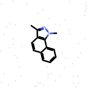 Cc1nn(C)c2c1ccc1ccccc12